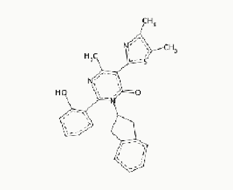 Cc1nc(-c2c(C)nc(-c3ccccc3O)n(C3Cc4ccccc4C3)c2=O)sc1C